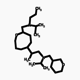 CCCN(CC1CCC(C(C)CN(CC2CCCOC2)C(C)C)CCCO1)C(C)C